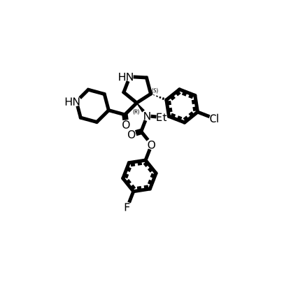 CCN(C(=O)Oc1ccc(F)cc1)[C@@]1(C(=O)C2CCNCC2)CNC[C@@H]1c1ccc(Cl)cc1